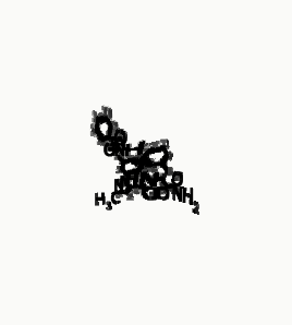 Cc1cc(C(=O)N[C@@H](Cc2ccccc2)C(=O)C(N)=O)n(-c2cccc(CNS(=O)(=O)c3ccccc3)c2)n1